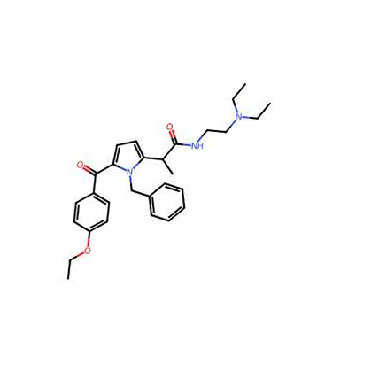 CCOc1ccc(C(=O)c2ccc(C(C)C(=O)NCCN(CC)CC)n2Cc2ccccc2)cc1